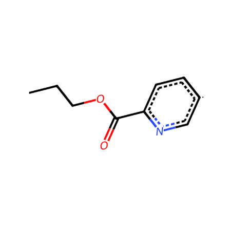 CCCOC(=O)c1cc[c]cn1